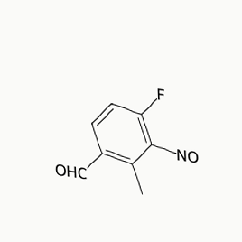 Cc1c(C=O)ccc(F)c1N=O